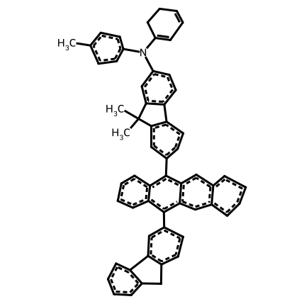 Cc1ccc(N(C2=CC=CCC2)c2ccc3c(c2)C(C)(C)c2cc(-c4c5ccccc5c(-c5ccc6c(c5)-c5ccccc5C6)c5cc6ccccc6cc45)ccc2-3)cc1